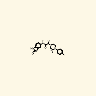 C[C@@H]1CN(C(=O)C(=O)Nc2ccc3[nH]c(=O)oc3c2)CCN1c1ccc(F)cc1